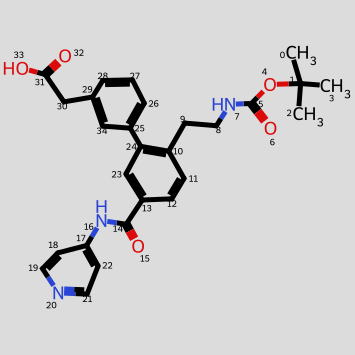 CC(C)(C)OC(=O)NCCc1ccc(C(=O)Nc2ccncc2)cc1-c1cccc(CC(=O)O)c1